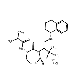 CNC(C)C(=O)N[C@H]1CCO[C@H]2CC(C)(C)[C@@H](CN[C@@H]3CCCc4ccccc43)N2C1=O.Cl.Cl